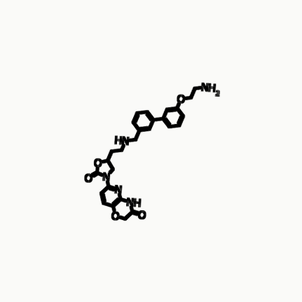 NCCOc1cccc(-c2cccc(CNCCC3CN(c4ccc5c(n4)NC(=O)CO5)C(=O)O3)c2)c1